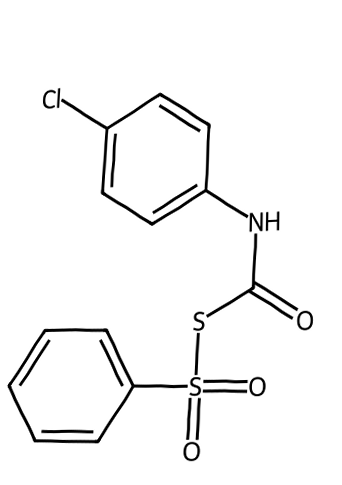 O=C(Nc1ccc(Cl)cc1)SS(=O)(=O)c1ccccc1